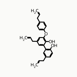 C=CCc1ccc(Oc2cc(CC=C)cc(-c3cc(CC=C)ccc3O)c2O)cc1